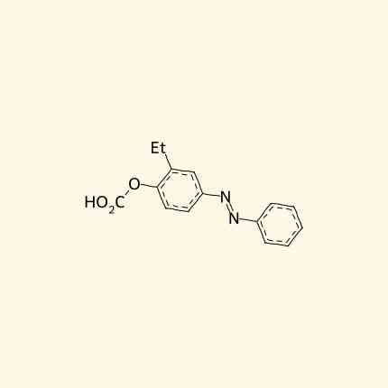 CCc1cc(N=Nc2ccccc2)ccc1OC(=O)O